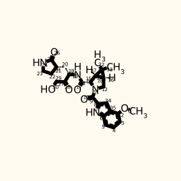 COc1cccc2[nH]c(C(=O)N3C[C@H]4[C@@H]([C@H]3C(=O)N[C@@H](C[C@@H]3CCNC3=O)C(=O)CO)C4(C)C)cc12